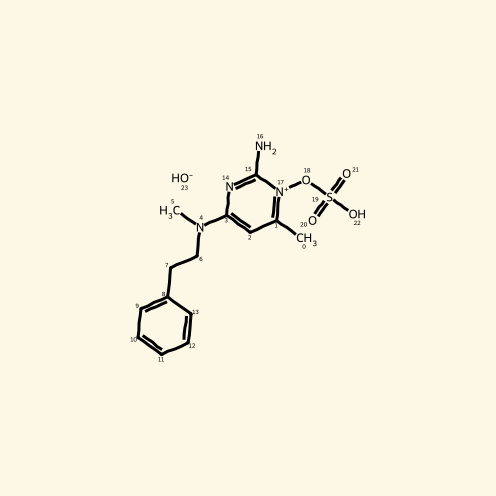 Cc1cc(N(C)CCc2ccccc2)nc(N)[n+]1OS(=O)(=O)O.[OH-]